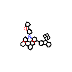 c1ccc(N(c2ccc(-c3ccc4c(c3)C3(c5ccccc5-4)C4CC5CC6CC3C564)cc2)c2ccc3c(c2)oc2ccccc23)c(-c2cccc3cccc(C4CCCCC4)c23)c1